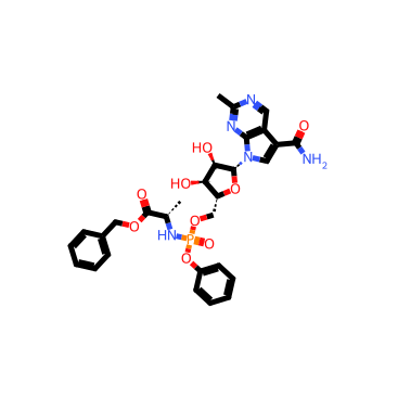 Cc1ncc2c(C(N)=O)cn([C@@H]3O[C@H](COP(=O)(N[C@@H](C)C(=O)OCc4ccccc4)Oc4ccccc4)[C@@H](O)[C@H]3O)c2n1